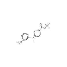 C[C@H](c1ccnc(N)c1)N1CCN(C(=O)OC(C)(C)C)CC1